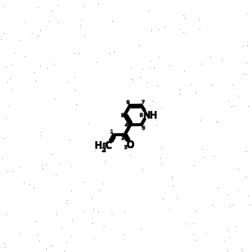 C=CC(=O)C1=CC=CNC1